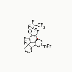 CCCc1cccc(C2=CC=CCC2(F)c2ccc(F)c(OC(F)(F)C(F)C(F)(F)F)c2F)c1